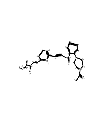 CC(=O)N1CCN(c2ccccc2C(=O)/C=C/c2cccc(/C=C/C(=O)NO)n2)CC1